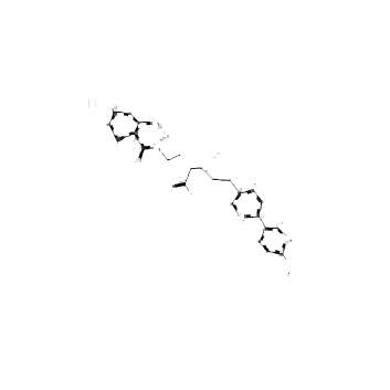 COc1ccc(-c2ccc(CC[C@@H](O)[C@H](CCn3nnc4cc(C)ccc4c3=O)C(=O)O)cn2)cn1